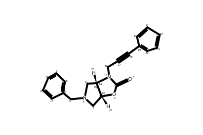 O=C1O[C@@H]2CN(Cc3ccccc3)C[C@@H]2N1CC#Cc1ccccc1